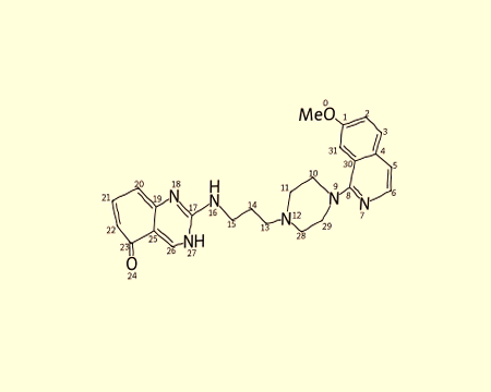 COc1ccc2ccnc(N3CCN(CCCNc4nc5cccc(=O)c-5c[nH]4)CC3)c2c1